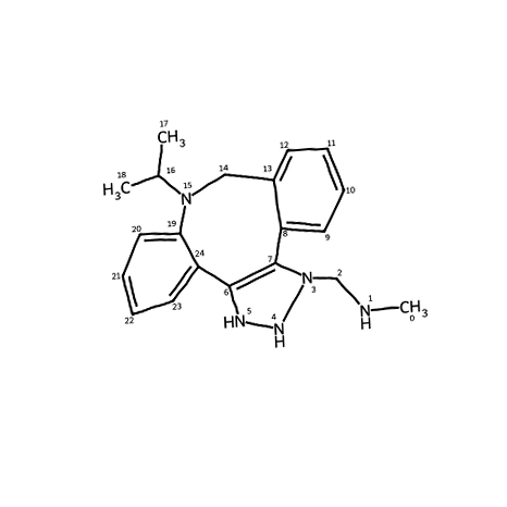 CNCN1NNC2=C1c1ccccc1CN(C(C)C)c1ccccc12